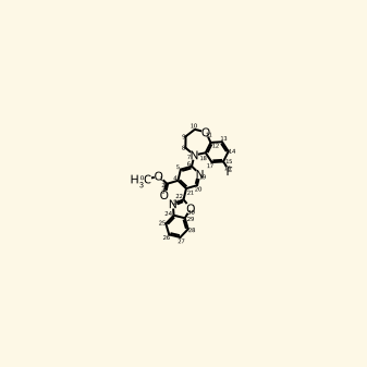 COC(=O)c1cc(N2CCCOc3ccc(F)cc32)ncc1-c1nc2ccccc2o1